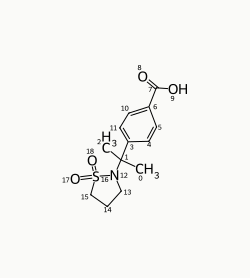 CC(C)(c1ccc(C(=O)O)cc1)N1CCCS1(=O)=O